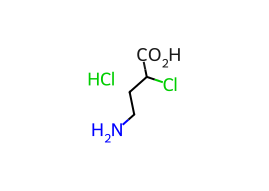 Cl.NCCC(Cl)C(=O)O